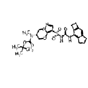 CN(C(=O)OC(C)(C)C)[C@H]1COc2c(S(=O)(=O)NC(=O)Nc3c4c(cc5c3CC5)CCC4)cnn2C1